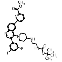 COC(=O)c1cccc(-c2ccc3ncc(-c4cc(F)cc(F)c4)c(N4CCC(NCCNC(=O)OC(C)(C)C)CC4)c3c2)n1